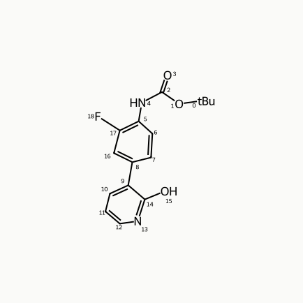 CC(C)(C)OC(=O)Nc1ccc(-c2cccnc2O)cc1F